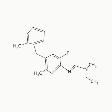 CCN(C)/C=N/c1cc(C)c(Cc2ccccc2C)cc1F